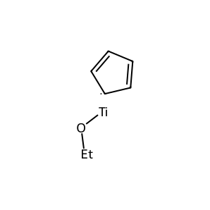 CC[O][Ti].[CH]1C=CC=C1